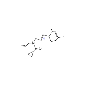 C=CCN(C/C=C/C1CCC(C)=CC1C)C(=O)C1CC1